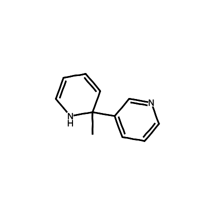 CC1(c2cccnc2)C=CC=CN1